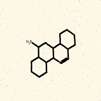 BC1CC2C(C=CC3CCCCC32)C2CCCCC12